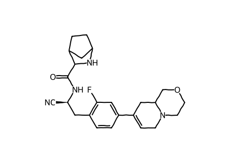 N#C[C@H](Cc1ccc(C2=CCN3CCOCC3C2)cc1F)NC(=O)C1NC2CCC1C2